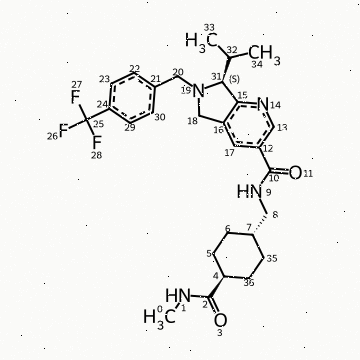 CNC(=O)[C@H]1CC[C@H](CNC(=O)c2cnc3c(c2)CN(Cc2ccc(C(F)(F)F)cc2)[C@H]3C(C)C)CC1